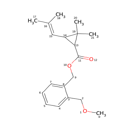 COCc1ccccc1COC(=O)C1C(C=C(C)C)C1(C)C